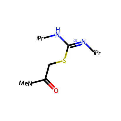 CNC(=O)CS/C(=N\C(C)C)NC(C)C